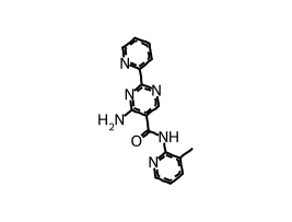 Cc1cccnc1NC(=O)c1cnc(-c2ccccn2)nc1N